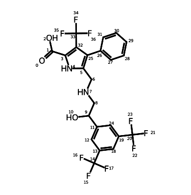 O=C(O)c1[nH]c(CNCC(O)c2cc(C(F)(F)F)cc(C(F)(F)F)c2)c(-c2ccccc2)c1C(F)(F)F